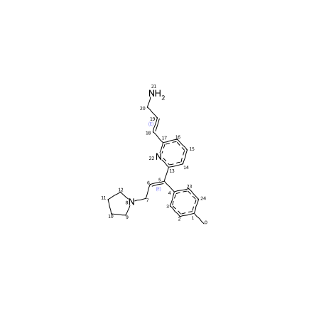 Cc1ccc(/C(=C\CN2CCCC2)c2cccc(/C=C/CN)n2)cc1